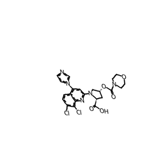 O=C(O)[C@@H]1C[C@@H](OC(=O)N2CCOCC2)CN1c1cc(-n2ccnc2)c2ccc(Cl)c(Cl)c2n1